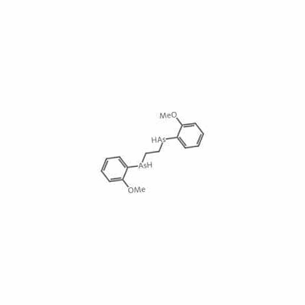 COc1ccccc1[AsH]CC[AsH]c1ccccc1OC